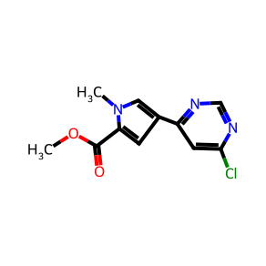 COC(=O)c1cc(-c2cc(Cl)ncn2)cn1C